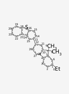 CCc1ccc2c(c1)C(C)(C)c1cc(-c3ccc4sc5ccccc5c4c3)ccc1-2